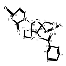 CC[C@@]1(N=[N+]=[N-])O[C@@H](n2ccc(=O)[nH]c2=O)[C@@]2(CCS2)[C@@H]1OC(=O)c1ccccc1